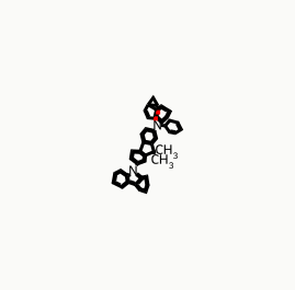 CC1(C)c2cc(N(C3=CC4CC4(c4ccccc4)C=C3)C3C=CC=CC3)ccc2-c2ccc(-n3c4ccccc4c4ccccc43)cc21